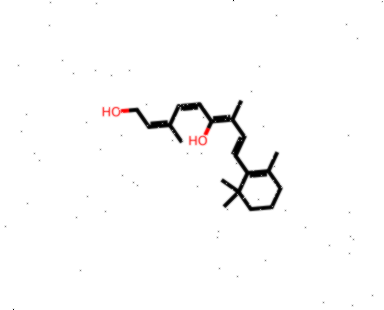 CC(C=CC1=C(C)CCCC1(C)C)=C(O)/C=C\C(C)=C/CO